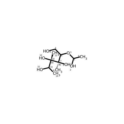 CC(O)OC(CO)[C@@](C)(O)[C@@](C)(O)C(C)O